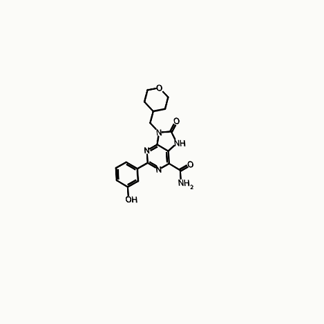 NC(=O)c1nc(-c2cccc(O)c2)nc2c1[nH]c(=O)n2CC1CCOCC1